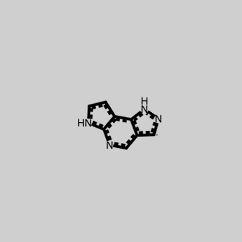 [c]1n[nH]c2c1cnc1[nH]ccc12